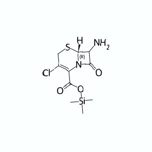 C[Si](C)(C)OC(=O)C1=C(Cl)CS[C@@H]2C(N)C(=O)N12